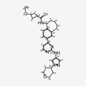 CC(C)OC1CN(C(=O)NC2CCCCc3cc(-c4ccnc(Nc5cnn(C6CCOCC6)c5)n4)ccc32)C1